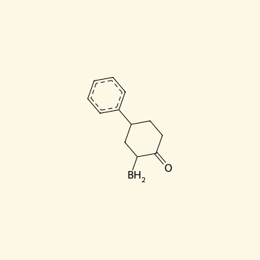 BC1CC(c2ccccc2)CCC1=O